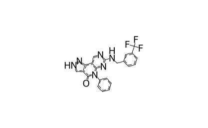 O=c1c2c[nH]nc2c2cnc(NCc3cccc(C(F)(F)F)c3)nc2n1-c1ccccc1